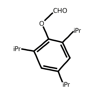 CC(C)c1cc(C(C)C)c(OC=O)c(C(C)C)c1